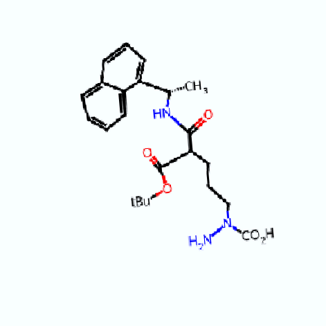 C[C@H](NC(=O)C(CCCN(N)C(=O)O)C(=O)OC(C)(C)C)c1cccc2ccccc12